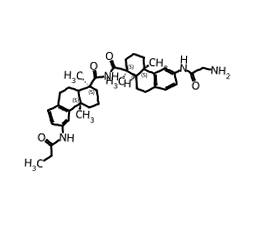 CCC(=O)Nc1ccc2c(c1)[C@@]1(C)CCC[C@](C)(C(=O)NC(=O)[C@@]3(C)CCC[C@]4(C)c5cc(NC(=O)CN)ccc5CC[C@@H]34)C1CC2